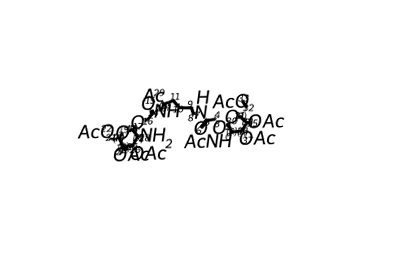 CC(=O)N[C@H]1C(OCC(=O)NCCCC[C@H](NC(=O)CO[C@@H]2O[C@H](COC(C)=O)[C@H](OC(C)=O)[C@H](OC(C)=O)[C@H]2N)C(C)=O)O[C@H](COC(C)=O)[C@H](OC(C)=O)[C@@H]1OC(C)=O